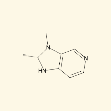 C[C@H]1Nc2ccncc2N1C